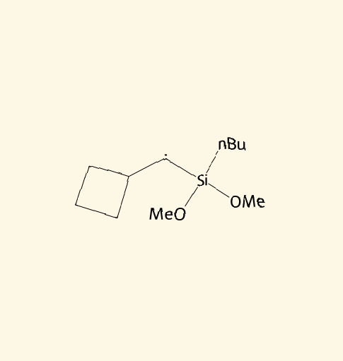 CCCC[Si]([CH]C1CCC1)(OC)OC